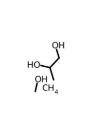 C.CC(O)CO.CO